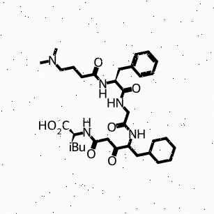 CC[C@H](C)[C@H](NC(=O)CC(=O)C(CC1CCCCC1)NC(=O)CNC(=O)[C@H](Cc1ccccc1)NC(=O)CCCN(C)C)C(=O)O